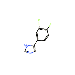 Fc1ccc(-c2cnc[nH]2)cc1F